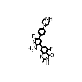 Cc1nc2cc(-c3cc(-c4ccc(N5CCNCC5)cc4)c(F)nc3N)cc(F)c2c(=O)[nH]1